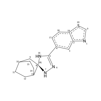 c1nc2cc(C3=NN[C@@]4(CC5CCC4CC5)N3)ccc2s1